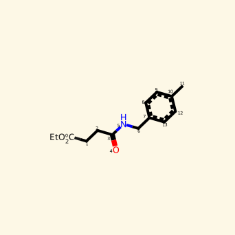 CCOC(=O)CCC(=O)NCc1ccc(C)cc1